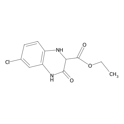 CCOC(=O)C1Nc2ccc(Cl)cc2NC1=O